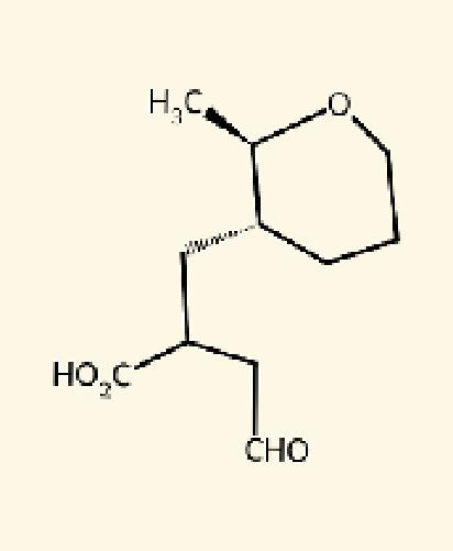 C[C@H]1OCCC[C@@H]1CC(CC=O)C(=O)O